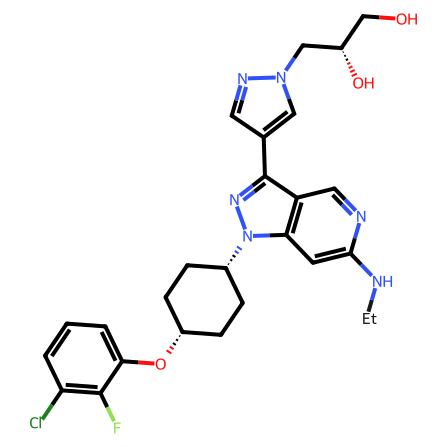 CCNc1cc2c(cn1)c(-c1cnn(C[C@@H](O)CO)c1)nn2[C@H]1CC[C@@H](Oc2cccc(Cl)c2F)CC1